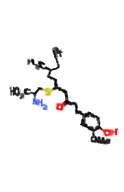 COc1cc(CCC(=O)CC(CCC(C)CC(C)C)SCC(N)C(=O)O)ccc1O